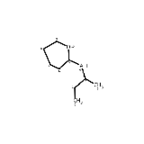 CC[CH](C)[AlH][CH]1CCCCO1